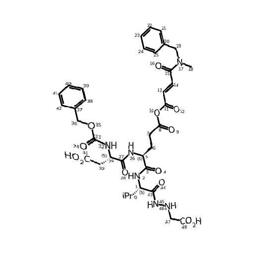 CC(C)[C@H](NC(=O)[C@H](CCC(=O)OC(=O)C=CC(=O)N(C)Cc1ccccc1)NC(=O)[C@H](CC(=O)O)NC(=O)OCc1ccccc1)C(=O)NNCC(=O)O